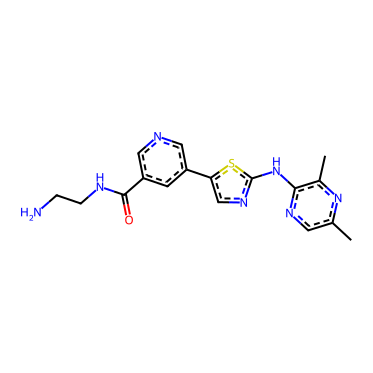 Cc1cnc(Nc2ncc(-c3cncc(C(=O)NCCN)c3)s2)c(C)n1